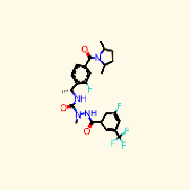 CC1CCC(C)N1C(=O)c1ccc([C@@H](C)NC(=O)N(C)NC(=O)C2C=C(C(F)(F)F)C=C(F)C2)c(F)c1